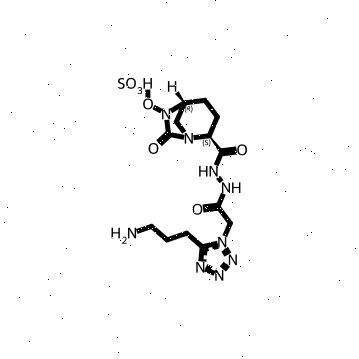 NCCCc1nnnn1CC(=O)NNC(=O)[C@@H]1CC[C@@H]2CN1C(=O)N2OS(=O)(=O)O